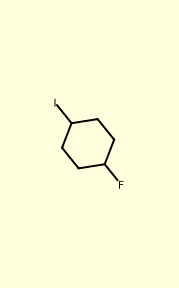 FC1CCC(I)CC1